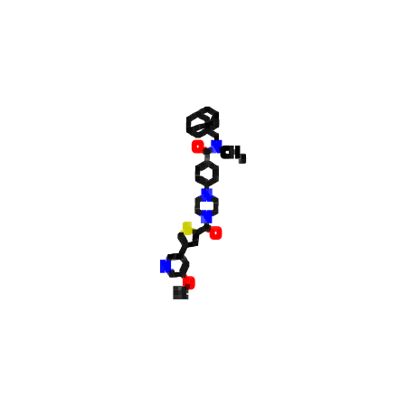 CCOc1cncc(-c2csc(C(=O)N3CCN(c4ccc(C(=O)N(C)CC56CC7CC(CC(C7)C5)C6)cc4)CC3)c2)c1